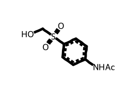 CC(=O)Nc1ccc(S(=O)(=O)CO)cc1